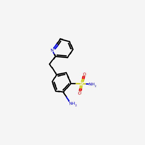 Nc1ccc(Cc2ccccn2)cc1S(N)(=O)=O